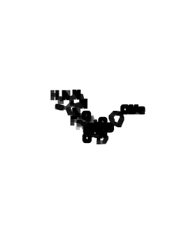 C#Cc1cn([C@@H]2O[C@H](COP(=O)(Oc3ccc(OC)cc3)N3CCCC3C(=O)OC)[C@@H](O)[C@@]2(C)F)c2ncnc(N)c12